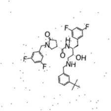 CC(C)(C)c1cccc(CNC[C@@H](O)[C@H](Cc2cc(F)cc(F)c2)NC(=O)[C@H]2CC(=O)N(Cc3cc(F)cc(F)c3)C2)c1